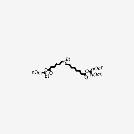 CCCCCCCCC(CC)OC(=O)CCCCCN(CC)CCCCCCCC(=O)OC(CCCCCCCC)CCCCCCCC